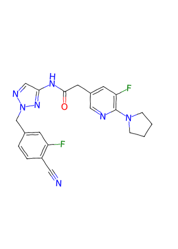 N#Cc1ccc(Cn2ncc(NC(=O)Cc3cnc(N4CCCC4)c(F)c3)n2)cc1F